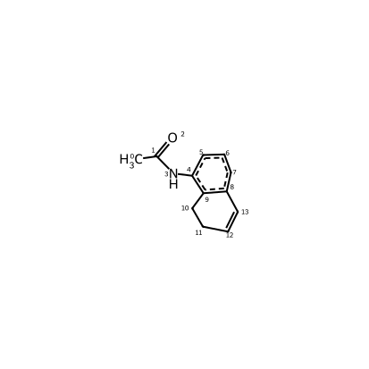 CC(=O)Nc1cccc2c1CCC=C2